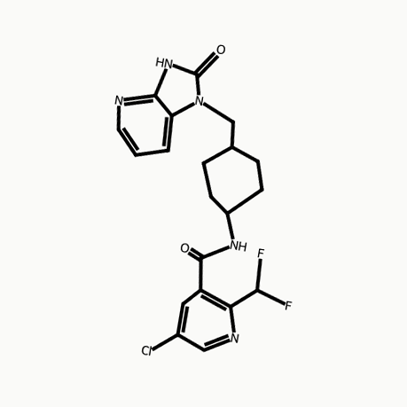 O=C(NC1CCC(Cn2c(=O)[nH]c3ncccc32)CC1)c1cc(Cl)cnc1C(F)F